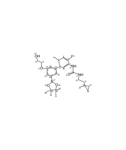 CC1C=C(F)C(NC(=O)NCCC2(C)CC2)=CC1c1cc(OCCO)cc(B2OC(C)(C)C(C)(C)O2)c1